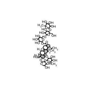 C=C(C)[C@@H]1CC[C@]2(C(=O)O[C@@H]3O[C@H](CO[C@@H]4O[C@H](CO)[C@@H](O[C@@H]5O[C@@H](C)[C@H](O)[C@@H](O)[C@H]5O)[C@H](O)[C@H]4O)[C@@H](O)[C@H](O)[C@H]3O)CC[C@]3(C)[C@H](CC[C@@H]4[C@@]5(C)CC[C@H](O[C@@H]6OC[C@H](O)[C@H](O)[C@H]6O[C@@H]6O[C@@H](C)[C@H](O)[C@@H](O)[C@H]6O)[C@@](C)(CO)[C@@H]5CC[C@]43C)[C@H]12